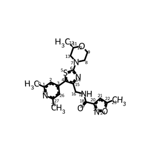 Cc1cc(-c2sc(N3CCO[C@H](C)C3)nc2CNC(=O)c2cc(C)on2)cc(C)n1